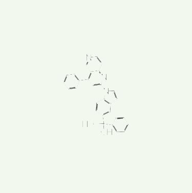 CC1(C)c2ccccc2-c2c1ccc1c2ccn1-c1cc(-c2ccccc2)c2cnccc2n1